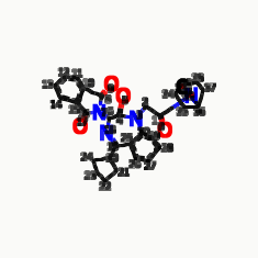 O=C(CN1C(=O)C(N2C(=O)c3ccccc3C2=O)N=C(C2CCCC2)c2ccccc21)N1CC2CCC(CC2)C1